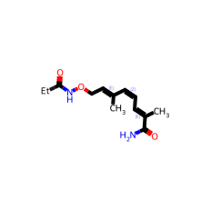 CCC(=O)NOC/C=C(C)/C=C\C=C(/C)C(N)=O